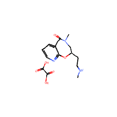 CNCCC1CN(C)C(=O)c2cccnc2O1.O=C(O)C(=O)O